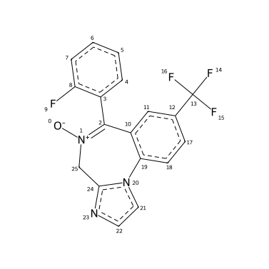 [O-][N+]1=C(c2ccccc2F)c2cc(C(F)(F)F)ccc2-n2ccnc2C1